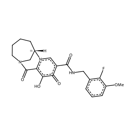 COc1cccc(CNC(=O)c2cn3c(c(O)c2=O)C(=O)N2CCCC[C@H]3C2)c1F